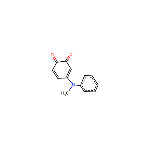 CN(C1=CC(=O)C(=O)C=C1)c1ccccc1